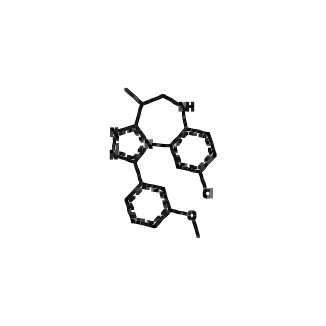 COc1cccc(-c2nnc3n2-c2cc(Cl)ccc2NCC3C)c1